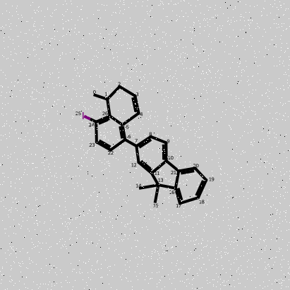 CC1CC=Cc2c(-c3ccc4c(c3)C(C)(C)c3ccccc3-4)ccc(I)c21